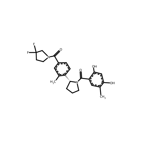 Cc1cc(C(=O)N2CCC[C@@H]2c2ccc(C(=O)N3CCC(F)(F)C3)cc2C)c(O)cc1O